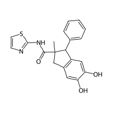 CC1(C(=O)Nc2nccs2)Cc2cc(O)c(O)cc2C1c1ccccc1